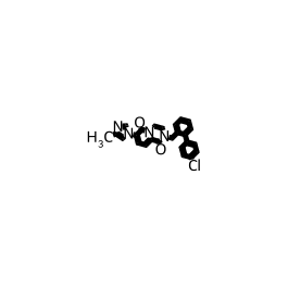 Cc1cn(-c2ccc3n(c2=O)CCN(Cc2ccccc2-c2ccc(Cl)cc2)C3=O)cn1